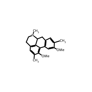 COc1cc2c(cc1C)CC1c3c(cc(C)c(OC)c3-2)CCN1C